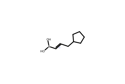 OB(O)/C=C/CC1CCCC1